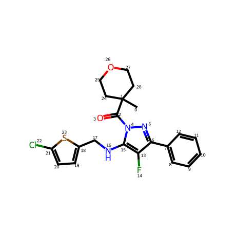 CC1(C(=O)n2nc(-c3ccccc3)c(F)c2NCc2ccc(Cl)s2)CCOCC1